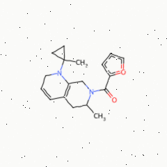 CC1CC2=C(CN1C(=O)c1ccco1)N(C1(C)CC1)CC=C2